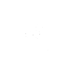 CCCCC(CC)CO[n+]1cc2ccccc2c2ccccc21